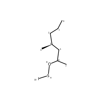 CCC[C@H](C)CC(C)OSI